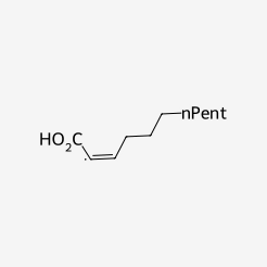 CCCCCCCC/C=[C]\C(=O)O